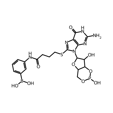 Nc1nc2c(nc(SCCCC(=O)Nc3cccc(B(O)O)c3)n2C2OC3COP(O)OC3C2O)c(=O)[nH]1